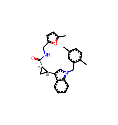 Cc1ccc(C)c(Cn2cc([C@H]3C[C@@H]3C(=O)NCc3ccc(C)o3)c3ccccc32)c1